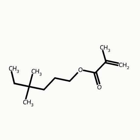 C=C(C)C(=O)OCCCC(C)(C)CC